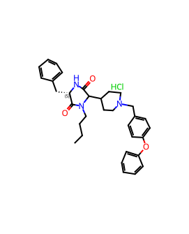 CCCCN1C(=O)[C@H](Cc2ccccc2)NC(=O)C1C1CCN(Cc2ccc(Oc3ccccc3)cc2)CC1.Cl